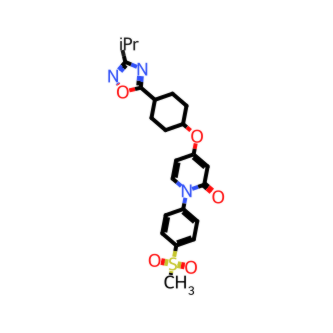 CC(C)c1noc(C2CCC(Oc3ccn(-c4ccc(S(C)(=O)=O)cc4)c(=O)c3)CC2)n1